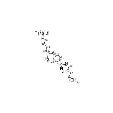 C=CCc1cnc(-c2ccc3cc(C=CCCCC(C)F)ccc3c2)nc1